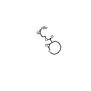 CCCCC1OC1CCOC(=O)C1CCCCCCCCCC2OC21